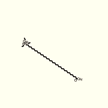 CCO[Si](CCCCCCCCCCCCCCCCCCCCCCCCCCCCCCCCCCC(=O)O)(OCC)OCC